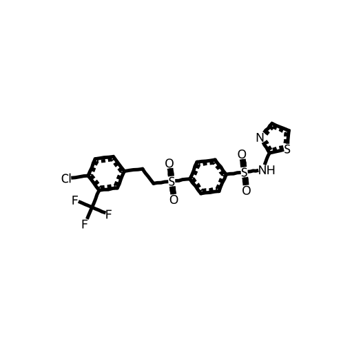 O=S(=O)(CCc1ccc(Cl)c(C(F)(F)F)c1)c1ccc(S(=O)(=O)Nc2nccs2)cc1